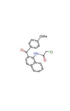 COc1ccc(C(=O)c2ccc3ccccc3c2NC(=O)CCl)cc1